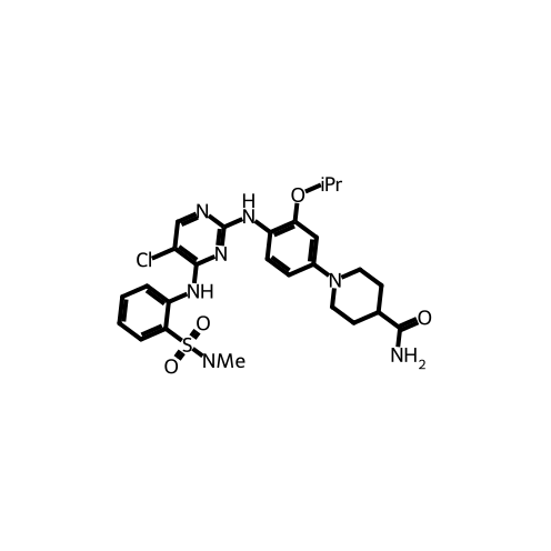 CNS(=O)(=O)c1ccccc1Nc1nc(Nc2ccc(N3CCC(C(N)=O)CC3)cc2OC(C)C)ncc1Cl